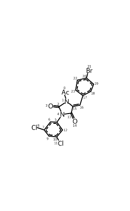 CC(=O)N1C(=O)N(c2cc(Cl)cc(Cl)c2)C(=O)/C1=C/c1ccc(Br)cc1